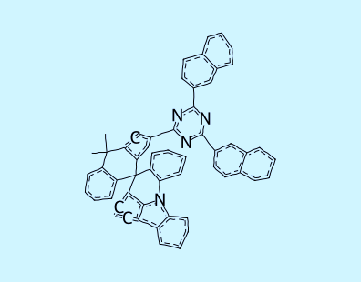 CC1(C)c2ccccc2C2(c3ccccc3-n3c4ccccc4c4cccc2c43)c2cc(-c3nc(-c4ccc5ccccc5c4)nc(-c4ccc5ccccc5c4)n3)ccc21